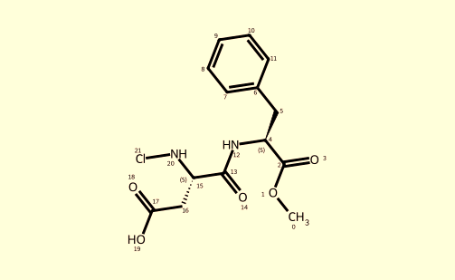 COC(=O)[C@H](Cc1ccccc1)NC(=O)[C@H](CC(=O)O)NCl